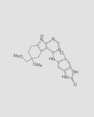 COCC1(OC)CCc2[nH]c3ncnc(Nc4cc5[nH]c(=O)[nH]c5cc4Cl)c3c2C1